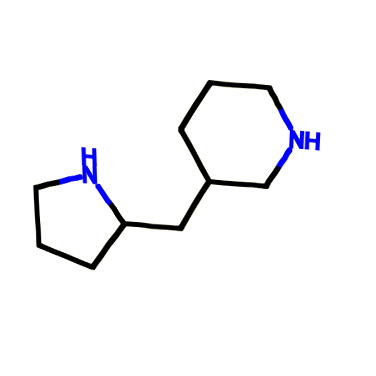 C1CNCC(CC2CCCN2)C1